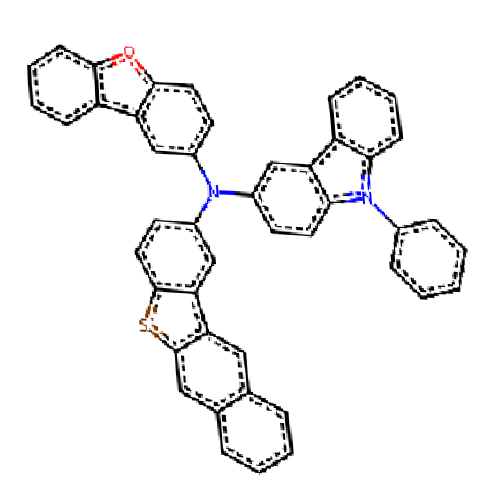 c1ccc(-n2c3ccccc3c3cc(N(c4ccc5oc6ccccc6c5c4)c4ccc5sc6cc7ccccc7cc6c5c4)ccc32)cc1